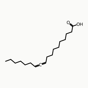 CCCCCCC=C=CCCCCCCCCC(=O)O